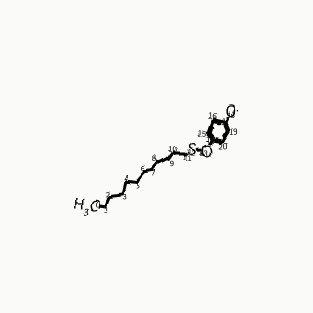 CCCCCCCCCCCCSOc1ccc([O])cc1